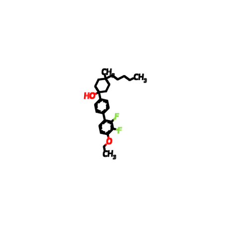 CCCCCC1(C)CCC(O)(c2ccc(-c3ccc(OCC)c(F)c3F)cc2)CC1